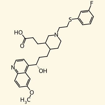 COc1ccc2nccc([C@@H](O)CCC3CCN(CCSc4cccc(F)c4)CC3CCC(=O)O)c2c1